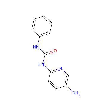 Nc1ccc(NC(=O)Nc2ccccc2)nc1